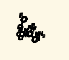 Nc1ncccc1-c1cc(C(F)(F)F)c2nc(C(=O)N3CCC(c4cccc(F)c4)C3)c(Cl)n2c1